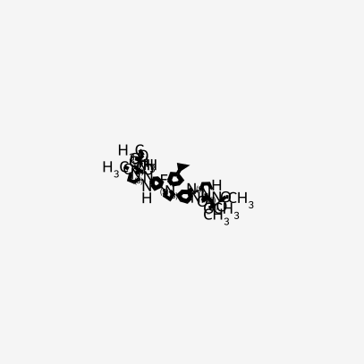 COC(=O)N[C@H](C(=O)N1CCC[C@H]1c1nc2cc([C@@H]3CC[C@@H](c4ccc5c(c4)NC([C@@H]4CCCN4[C@@](C=O)(NC(=O)OC)[C@@H](C)OC)N5)N3c3ccc(C4CC4)cc3F)ccc2[nH]1)[C@@H](C)OC